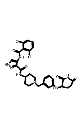 O=C1CCC(Nc2cccc(CN3CCC(NC(=O)c4n[nH]cc4NC(=O)c4c(Cl)cccc4Cl)CC3)c2)C(=O)N1